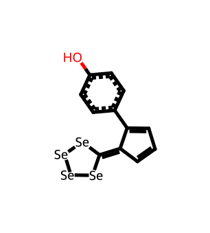 Oc1ccc(C2=CC=CC2=C2[Se][Se][Se][Se]2)cc1